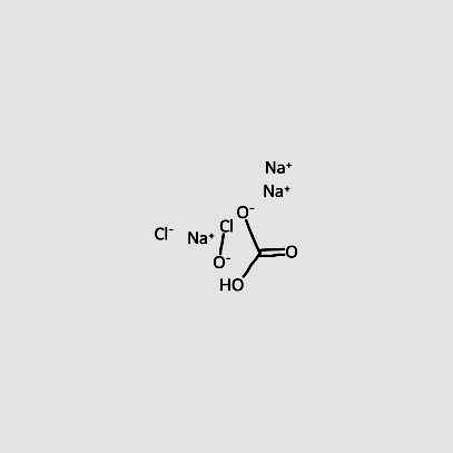 O=C([O-])O.[Cl-].[Na+].[Na+].[Na+].[O-]Cl